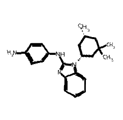 C[C@H]1C[C@@H](n2c(Nc3ccc(N)cc3)nc3ccccc32)CC(C)(C)C1